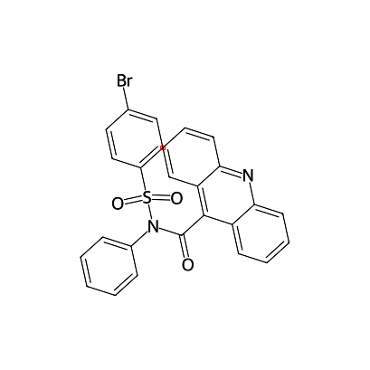 O=C(c1c2ccccc2nc2ccccc12)N(c1ccccc1)S(=O)(=O)c1ccc(Br)cc1